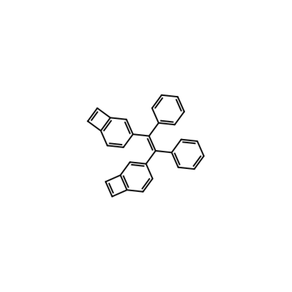 C1=Cc2cc(C(=C(c3ccccc3)c3ccc4c(c3)C=C4)c3ccccc3)ccc21